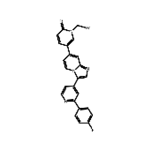 CC(C)Cn1cc(-c2ccn3c(-c4ccnc(-c5ccc(F)cc5)c4)cnc3c2)ccc1=O